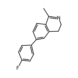 CC1=NCCc2cc(-c3ccc(F)cc3)ccc21